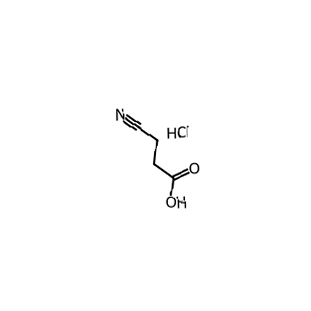 Cl.N#CCCC(=O)O